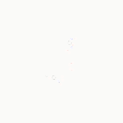 N#COc1ccc(CC(N=C=O)C(=O)OCCCCCC(=O)OCOC(=O)CCCCCOC(=O)C(Cc2ccc(N=C=O)cc2)N=C=O)cc1